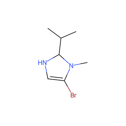 CC(C)C1NC=C(Br)N1C